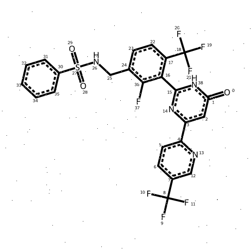 O=c1cc(-c2ccc(C(F)(F)F)cn2)nc(-c2c(C(F)(F)F)ccc(CNS(=O)(=O)c3ccccc3)c2F)[nH]1